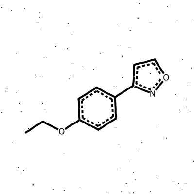 CCOc1ccc(-c2ccon2)cc1